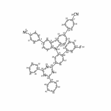 N#Cc1ccc(-c2ccc3c(c2)c2cc(-c4ccc(C#N)cc4)ccc2n3-c2cc(-c3nc(-c4ccccc4)nc(-c4ccccc4)n3)ccc2-c2cccc(F)c2)cc1